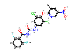 Cc1cc([N+](=O)[O-])cnc1Oc1c(Cl)cc(NC(=O)NC(=O)c2c(F)cccc2F)cc1Cl